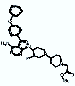 CC(C)(C)OC(=O)CN1CCC(N2CCC(n3nc(-c4ccc(Oc5ccccc5)cc4)c4c(N)ncnc43)C(F)C2)CC1